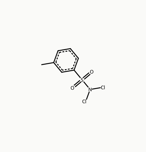 Cc1cccc(S(=O)(=O)N(Cl)Cl)c1